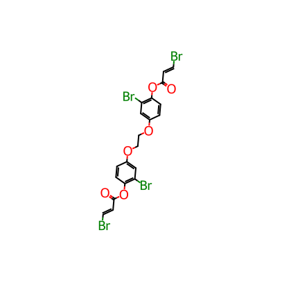 O=C(C=CBr)Oc1ccc(OCCOc2ccc(OC(=O)C=CBr)c(Br)c2)cc1Br